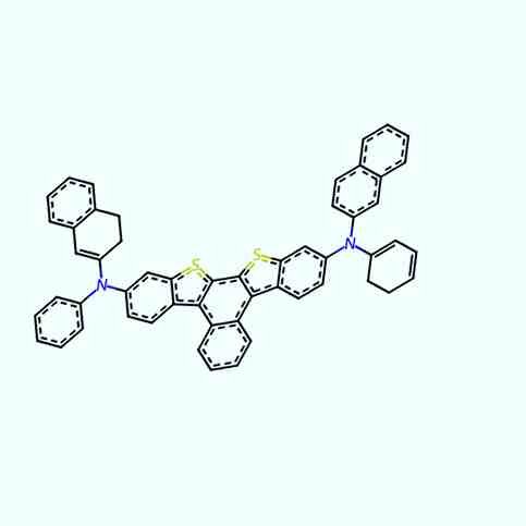 C1=CCCC(N(c2ccc3ccccc3c2)c2ccc3c(c2)sc2c4sc5cc(N(C6=Cc7ccccc7CC6)c6ccccc6)ccc5c4c4ccccc4c32)=C1